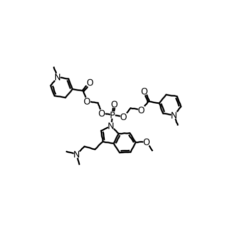 COc1ccc2c(CCN(C)C)cn(P(=O)(OCOC(=O)C3=CN(C)C=CC3)OCOC(=O)C3=CN(C)C=CC3)c2c1